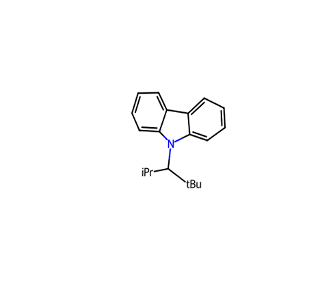 CC(C)C(n1c2ccccc2c2ccccc21)C(C)(C)C